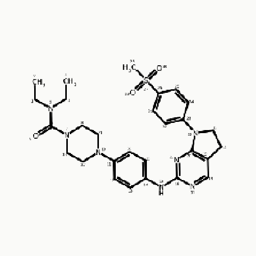 CCN(CC)C(=O)N1CCN(c2ccc(Nc3ncc4c(n3)N(c3ccc(S(C)(=O)=O)cc3)CC4)cc2)CC1